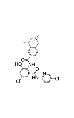 CC1CN(C)Cc2ccc(C(=O)Nc3c(O)cc(Cl)cc3C(=O)Nc3ccc(Cl)cn3)cc21